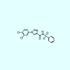 O=C(NS(=O)(=O)c1ccccc1)c1cn(-c2ccc(Cl)c(Cl)c2)cn1